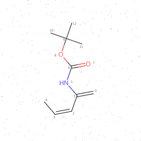 C=C(/C=C\C)NC(=O)OC(C)(C)C